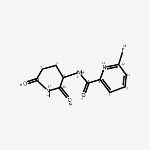 O=C1CCC(NC(=O)c2cccc(F)n2)C(=O)N1